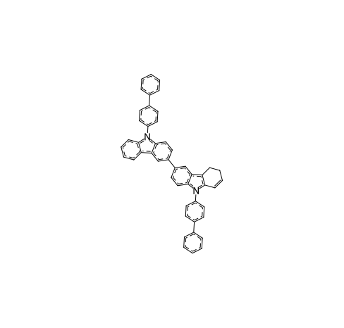 C1=Cc2c(c3cc(-c4ccc5c(c4)c4ccccc4n5-c4ccc(-c5ccccc5)cc4)ccc3n2-c2ccc(-c3ccccc3)cc2)CC1